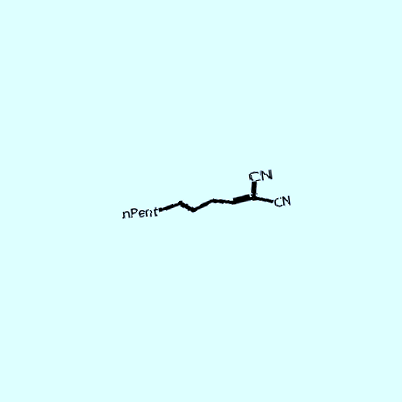 CCCCCCCCC=C(C#N)C#N